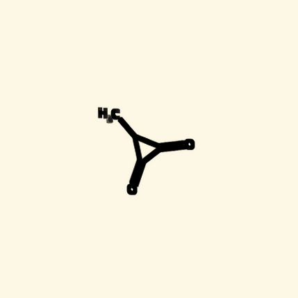 CC1C(=O)C1=O